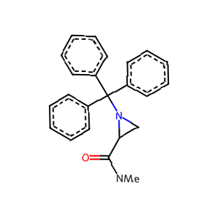 CNC(=O)C1CN1C(c1ccccc1)(c1ccccc1)c1ccccc1